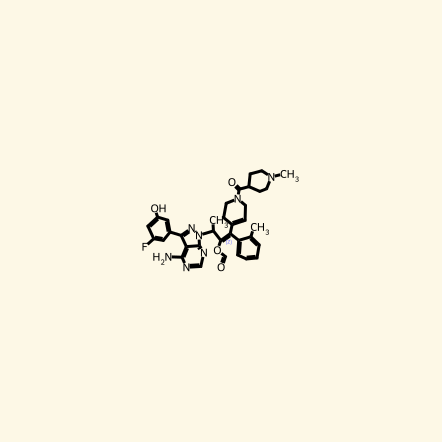 Cc1ccccc1/C(C1=CCN(C(=O)C2CCN(C)CC2)CC1)=C(\OC=O)C(C)n1nc(-c2cc(O)cc(F)c2)c2c(N)ncnc21